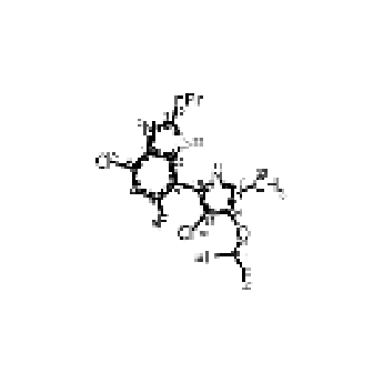 CCCc1nc2c(Cl)cc(F)c(-c3nn(C)c(OC(F)F)c3Cl)c2s1